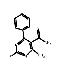 NC(=O)c1c(N)nc(F)nc1-c1ccccc1